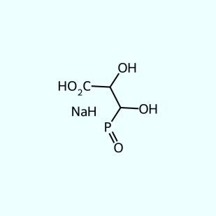 O=PC(O)C(O)C(=O)O.[NaH]